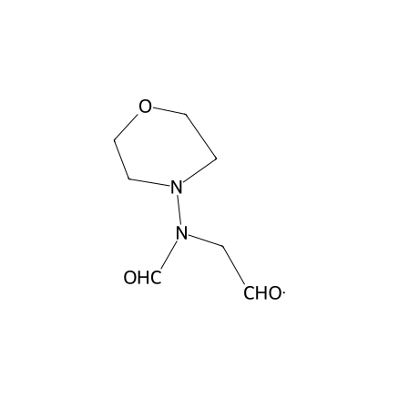 O=[C]CN(C=O)N1CCOCC1